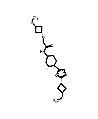 O=C(CO[C@H]1C[C@H](OC(F)(F)F)C1)NC1CCC(c2nnc([C@H]3C[C@H](OC(F)(F)F)C3)o2)CC1